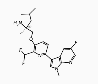 CC(C)C[C@](C)(N)COc1ccc(-c2cn(C)c3ncc(F)cc23)nc1C(F)F